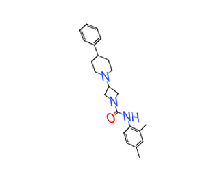 Cc1ccc(NC(=O)N2CC(N3CCC(c4ccccc4)CC3)C2)c(C)c1